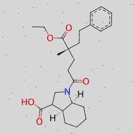 CCOC(=O)[C@@](C)(CCC(=O)N1CC(C(=O)O)[C@@H]2CCCC[C@@H]21)CCc1ccccc1